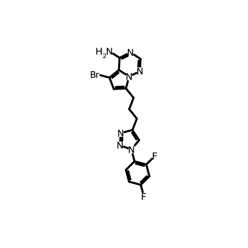 Nc1ncnn2c(CCCc3cn(-c4ccc(F)cc4F)nn3)cc(Br)c12